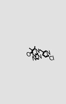 Cc1c(C)n(Cc2ccc(Cl)nc2)c2ncnn2c1=O